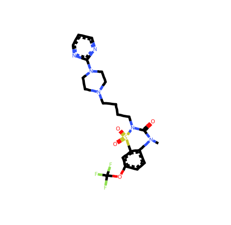 CN1C(=O)N(CCCCN2CCN(c3ncccn3)CC2)S(=O)(=O)c2cc(OC(F)(F)F)ccc21